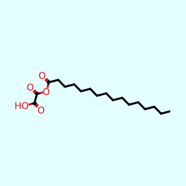 CCCCCCCCCCCCCCCC(=O)OC(=O)C(=O)O